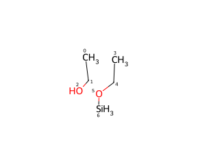 CCO.CCO[SiH3]